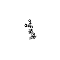 O=C(/C=C/c1ccc(OCc2ccccc2)c(OCc2ccccc2)c1)c1c(O)cccc1O[C@@H]1O[C@@H](CO)[C@@H](O)[C@H](O)[C@@H]1O